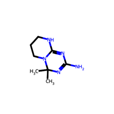 CC1(C)N=C(N)N=C2NCCCN21